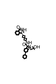 CC(C)(O)Cn1nc(C(=O)N[C@H]2CC3(C2)C[C@H](c2n[nH]c(=O)c4ccccc42)C3)c2ccc(-c3ccccc3)cc21